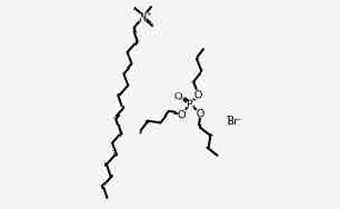 CCCCCCCCCCCCCCCC[N+](C)(C)C.CCCCOP(=O)(OCCCC)OCCCC.[Br-]